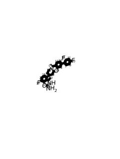 C[C@@H](c1ccc(-c2ccc(F)cc2F)cc1)N1CC[C@](CCNC(N)=O)(c2ccc(F)cc2)CC1=O